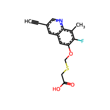 C#Cc1cnc2c(C)c(F)c(OCSCC(=O)O)cc2c1